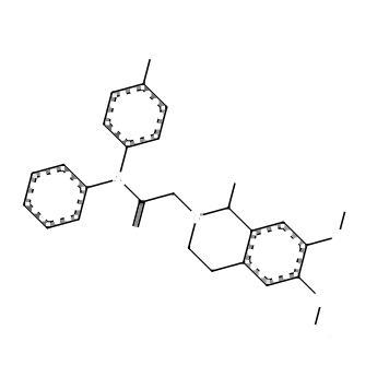 COc1cc2c(cc1OC)C(C)N(CC(=O)N(c1ccccc1)c1ccc(O)cc1)CC2